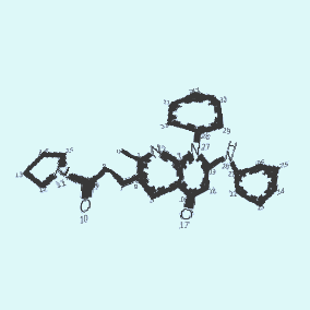 Cc1nc2c(cc1CCC(=O)N1CCCC1)c(=O)cc(Nc1ccccc1)n2-c1ccccc1